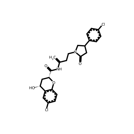 C=C(CCN1CC(c2ccc(Cl)cc2)CC1=O)NC(=O)[C@H]1C[C@@H](O)c2cc(Cl)ccc2O1